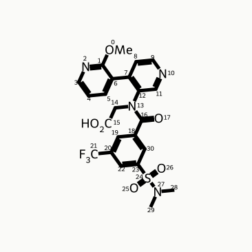 COc1ncccc1-c1ccncc1N(CC(=O)O)C(=O)c1cc(C(F)(F)F)cc(S(=O)(=O)N(C)C)c1